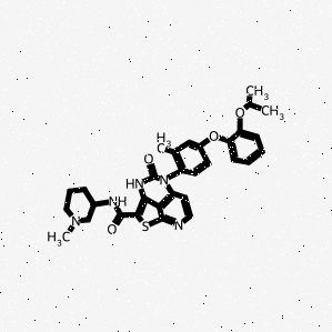 Cc1cc(Oc2ccccc2OC(C)C)ccc1N1C(=O)Nc2c(C(=O)NC3CCCN(C)C3)sc3nccc1c23